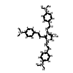 CN(C)c1ccc(/C=C/c2n(/N=C/c3ccc(N(C)C)cc3)cc[n+]2/N=C/c2ccc(N(C)C)cc2)cc1.[Cl-]